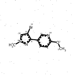 COc1ccc(-c2nn(C)cc2Br)cn1